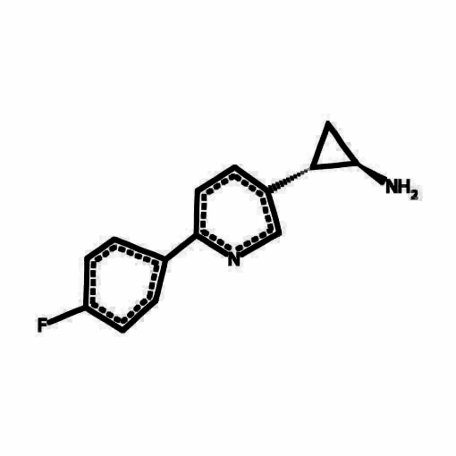 N[C@@H]1C[C@H]1c1ccc(-c2ccc(F)cc2)nc1